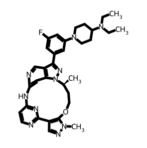 CCN(CC)C1CCN(c2cc(F)cc(-c3nn4c5cc(ncc35)Nc3ccnc(n3)-c3cnn(C)c3OCC[C@@H]4C)c2)CC1